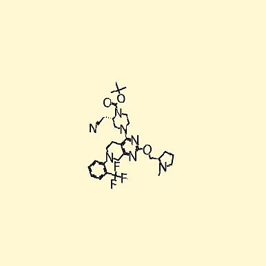 CN1CCC[C@@H]1COc1nc2c(c(N3CCN(C(=O)OC(C)(C)C)[C@@H](CC#N)C3)n1)CCN(c1ccccc1C(F)(F)F)C2